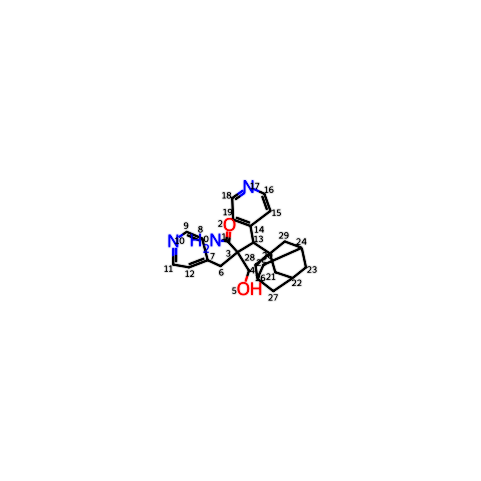 NC(=O)C(CO)(Cc1ccncc1)C(c1ccncc1)C12CC3CC(CC(C3)C1)C2